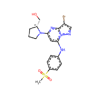 CS(=O)(=O)c1ccc(Nc2cc(N3CCC[C@@H]3CO)nc3c(Br)cnn23)cc1